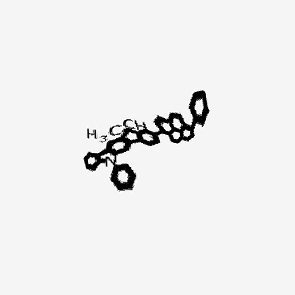 CC1(C)c2cc(-c3ccc4ccc5c(-c6ccccc6)ccc6ccc3c4c65)ccc2-c2cc3c(cc21)c1ccccc1n3-c1ccccc1